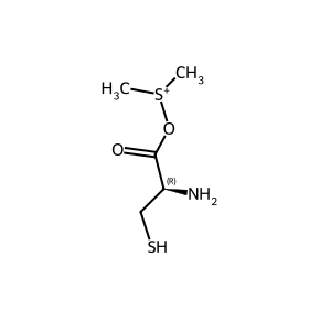 C[S+](C)OC(=O)[C@@H](N)CS